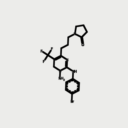 NN1CC(C(F)(F)F)=C(CCCN2CCCC2=O)N=C1Nc1ccc(Br)cc1